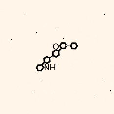 c1ccc(-c2ccc3oc4cc(-c5ccc6c(c5)[nH]c5ccccc56)ccc4c3c2)cc1